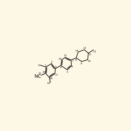 Cc1cc(-c2ccc(C3CCC(C)CC3)cc2)cc(C)c1C#N